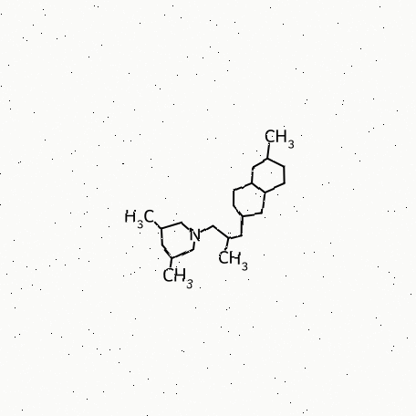 CC1CCC2CC(CC(C)CN3CC(C)CC(C)C3)CCC2C1